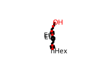 CCCCCCc1ccc(CCc2ccc(-c3ccc(CCCCCO)cc3CC)c(CC)c2)cc1